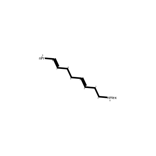 [CH2]CCCCCCC/C=C/CC/C=C/CCC